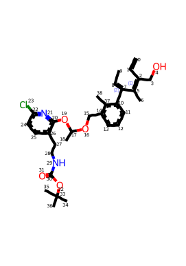 C=C/C(CO)=C(C)\C(=C/C)c1cccc(COC(C)Oc2nc(Cl)ccc2CCNC(=O)OC(C)(C)C)c1C